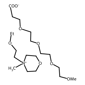 CCOCC[N+]1(C)CCOCC1.COCCOCCOCCOCCC(=O)[O-]